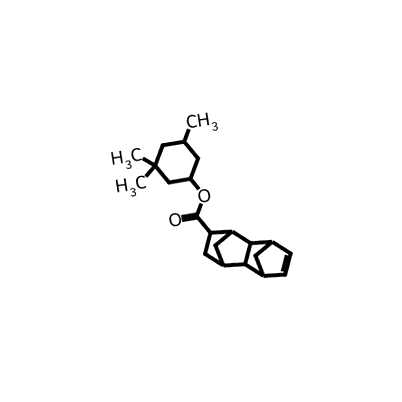 CC1CC(OC(=O)C2CC3CC2C2C4C=CC(C4)C32)CC(C)(C)C1